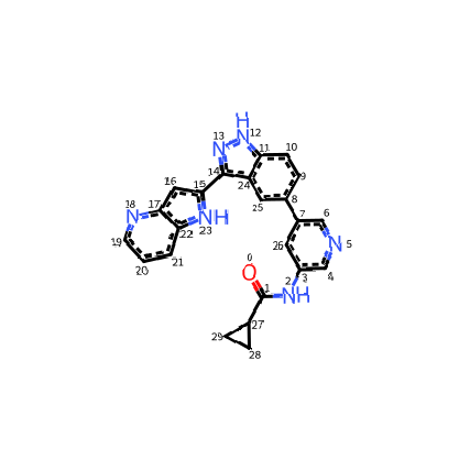 O=C(Nc1cncc(-c2ccc3[nH]nc(-c4cc5ncccc5[nH]4)c3c2)c1)C1CC1